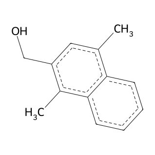 Cc1cc(CO)c(C)c2ccccc12